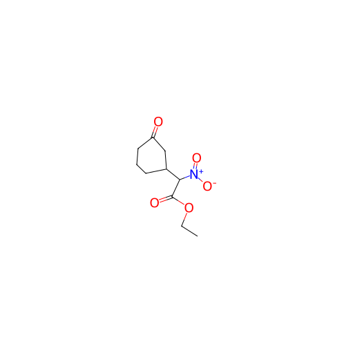 CCOC(=O)C(C1CCCC(=O)C1)[N+](=O)[O-]